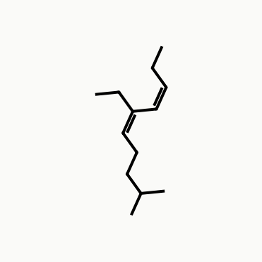 CC/C=C\C(=C/CCC(C)C)CC